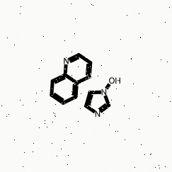 On1ccnc1.c1ccc2ncccc2c1